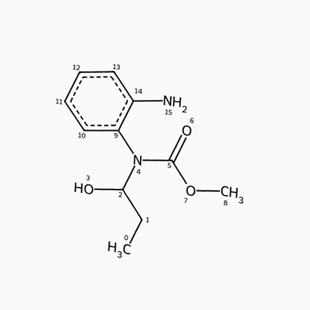 CCC(O)N(C(=O)OC)c1ccccc1N